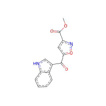 COC(=O)c1cc(C(=O)c2c[nH]c3ccccc23)on1